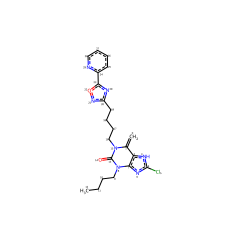 C=C1c2[nH]c(Cl)nc2N(CCCC)C(=O)N1CCCCc1noc(-c2ccccn2)n1